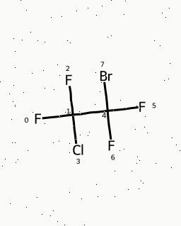 FC(F)(Cl)C(F)(F)Br